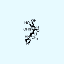 C/C(=C\C(Cl)=C1\C(=O)NC(CCO)(CCO)N1C=O)Nc1ccncn1